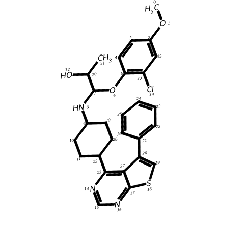 COc1ccc(OC(NC2CCC(c3ncnc4scc(-c5ccccc5)c34)CC2)C(C)O)c(Cl)c1